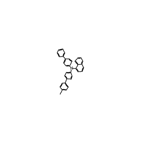 Cc1ccc(-c2ccc(N(c3ccc(-c4ccccc4)cc3)c3cccc4ccccc34)cc2)cc1